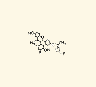 CC1=C(c2cc(O)c(F)cc2F)C(c2ccc(OCC(C)N3CCC(CF)C3)cc2)Oc2ccc(O)cc21